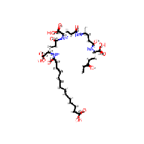 CCC(=O)CC[C@H](NC(=O)CC[C@@H](C)NC(=O)CC[C@H](NC(=O)CC[C@H](NC(=O)CCCCCCCCCCCCC(=O)O)C(=O)O)C(=O)O)C(=O)O